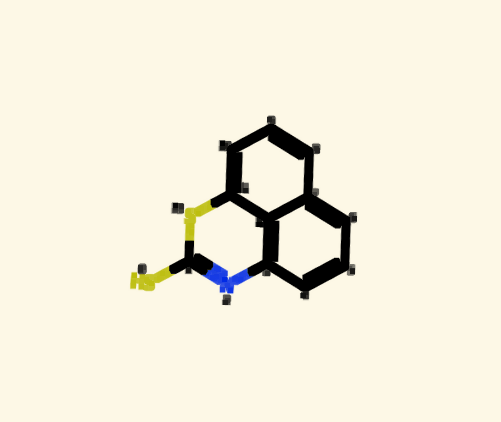 SC1=Nc2cccc3cccc(c23)S1